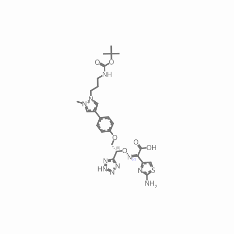 C[n+]1cc(-c2ccc(OC[C@H](O/N=C(\C(=O)O)c3csc(N)n3)c3nn[nH]n3)cc2)cn1CCCNC(=O)OC(C)(C)C